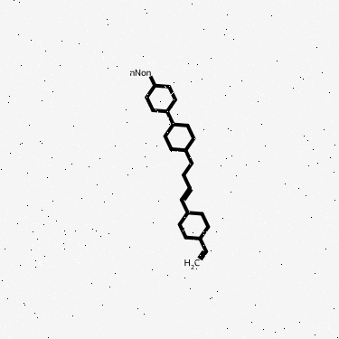 C=CC1CCC(C=CCCC2CCC(C3CCC(CCCCCCCCC)CC3)CC2)CC1